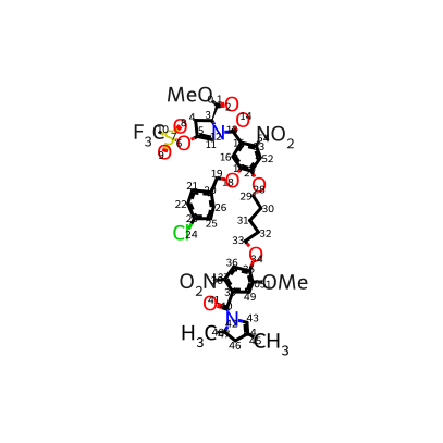 COC(=O)[C@@H]1CC(OS(=O)(=O)C(F)(F)F)=CN1C(=O)c1cc(OCc2ccc(Cl)cc2)c(OCCCCCOc2cc([N+](=O)[O-])c(C(=O)N3C=C(C)C[C@H]3C)cc2OC)cc1[N+](=O)[O-]